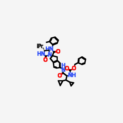 Cc1ccccc1NC(=O)C1(N2C[C@@H](C(C)C)NC2=O)Cc2ccc(NC(=O)[C@@H](NC(=O)OCc3ccccc3)C(C3CC3)C3CC3)cc2C1